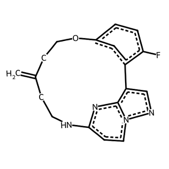 C=C1CCNc2ccn3ncc(c3n2)-c2cc(ccc2F)OCC1